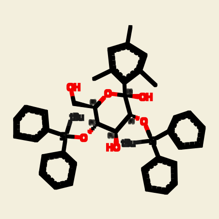 Cc1cc(C)c([C@@]2(O)O[C@H](CO)[C@@H](O[Si](c3ccccc3)(c3ccccc3)C(C)(C)C)[C@H](O)[C@H]2O[Si](c2ccccc2)(c2ccccc2)C(C)(C)C)c(C)c1